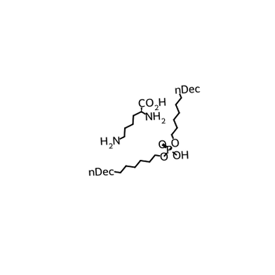 CCCCCCCCCCCCCCCCOP(=O)(O)OCCCCCCCCCCCCCCCC.NCCCC[C@H](N)C(=O)O